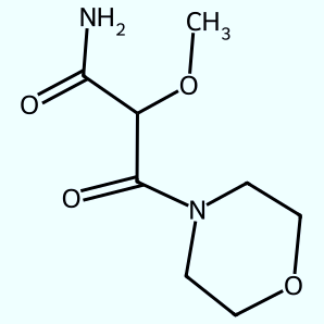 COC(C(N)=O)C(=O)N1CCOCC1